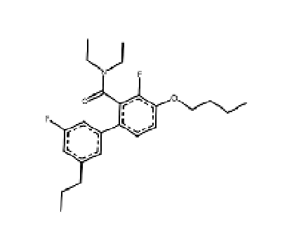 CCCCOc1ccc(-c2cc(F)cc(CCC)c2)c(C(=O)N(CC)CC)c1F